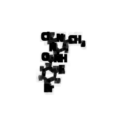 Cc1cc(NC(=O)c2ccc(Br)cc2F)nc(Cl)n1